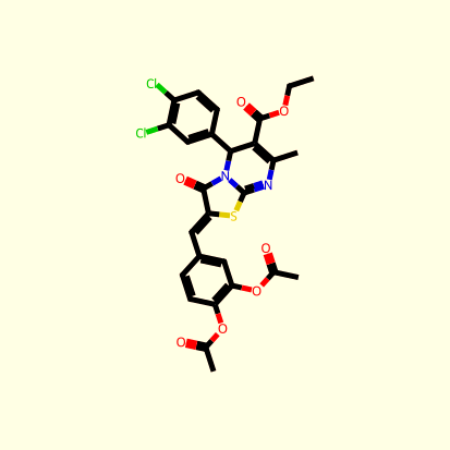 CCOC(=O)C1=C(C)N=c2s/c(=C\c3ccc(OC(C)=O)c(OC(C)=O)c3)c(=O)n2C1c1ccc(Cl)c(Cl)c1